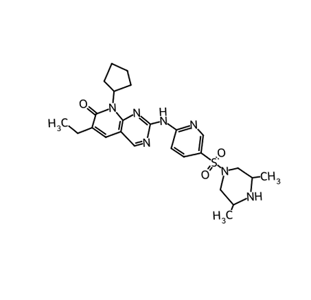 CCc1cc2cnc(Nc3ccc(S(=O)(=O)N4CC(C)NC(C)C4)cn3)nc2n(C2CCCC2)c1=O